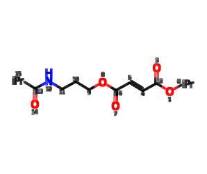 CC(C)OC(=O)/C=C/C(=O)OCCCNC(=O)C(C)C